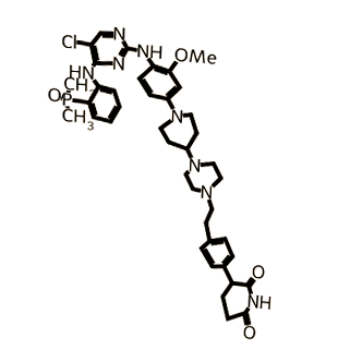 COc1cc(N2CCC(N3CCN(CCc4ccc(C5CCC(=O)NC5=O)cc4)CC3)CC2)ccc1Nc1ncc(Cl)c(Nc2ccccc2P(C)(C)=O)n1